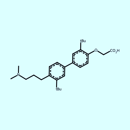 CN(C)CCCc1ccc(-c2ccc(OCC(=O)O)c(C(C)(C)C)c2)cc1C(C)(C)C